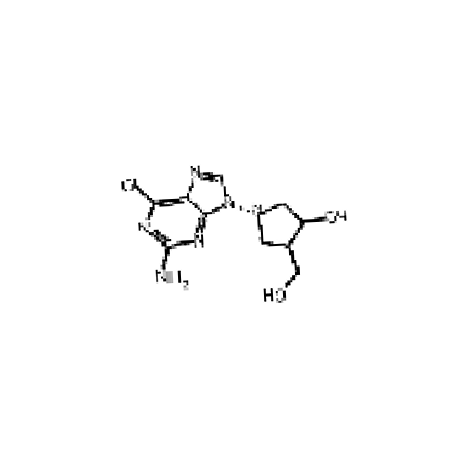 Nc1nc(Cl)c2ncn([C@@H]3CC(O)C(CO)C3)c2n1